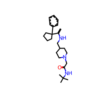 C=C(NCC1CCN(CC(=O)NC(C)(C)C)CC1)C1(c2ccccc2)CCCC1